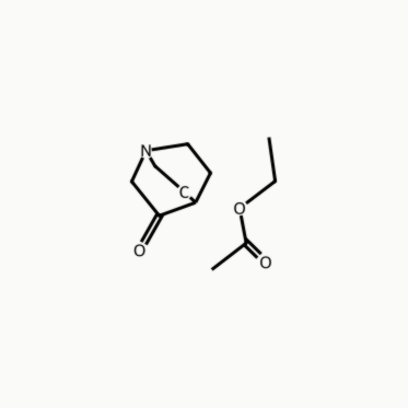 CCOC(C)=O.O=C1CN2CCC1CC2